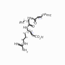 CCCCC/C=C/C(=O)N[C@@H](CC(C)C)C(=O)N[C@H](/C=C/C(=O)O)CCCNC(=N)N